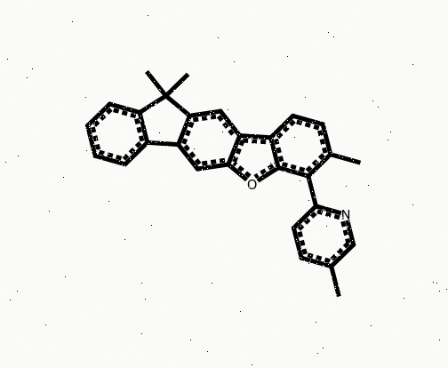 Cc1ccc(-c2c(C)ccc3c2oc2cc4c(cc23)C(C)(C)c2ccccc2-4)nc1